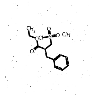 CCOC(=O)C(Cc1ccccc1)CS(=O)(=O)Cl.Cl